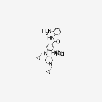 Cl.Cl.Cl.Nc1ccccc1NC(=O)c1ccc(N(CC2CC2)C2CCN(CC3CC3)CC2)cc1